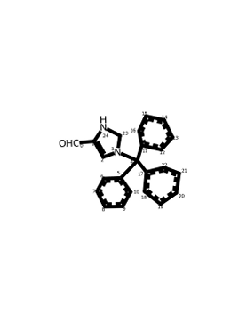 O=CC1=CN(C(c2ccccc2)(c2ccccc2)c2ccccc2)CN1